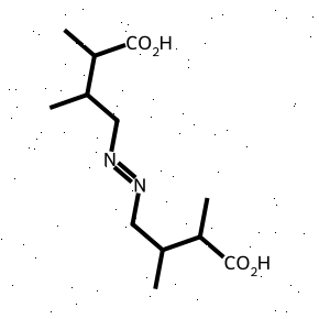 CC(CN=NCC(C)C(C)C(=O)O)C(C)C(=O)O